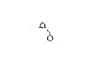 COc1cccc(NC(=O)CC2C=CC(N)(O)C=C2)c1